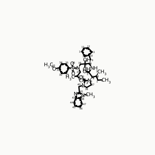 CC[C@H](C)[C@@H](C(=O)N[C@@H](Cc1ccccc1)C(O)(O)CN(CC(C)C)S(=O)(=O)c1ccc(OC)cc1)N1CCN(Cc2nc3ccccc3n2C)C1=O